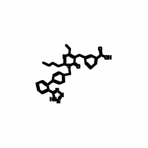 CCCCc1nc(CC)c(Cc2cccc(C(=O)O)c2)c(=O)n1Cc1ccc(-c2ccccc2-c2nnn[nH]2)cc1